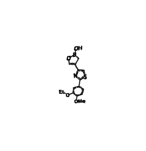 CCOc1cc(-c2nc(C3=COB(O)C3)cs2)ccc1OC